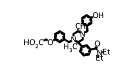 CCN(CC)C(=O)c1cccc([C@@]2(C)CN(Cc3cccc(O)c3)[C@H](C)CN2Cc2cccc(OCC(=O)O)c2)c1